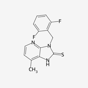 Cc1ccnc2c1[nH]c(=S)n2Cc1c(F)cccc1F